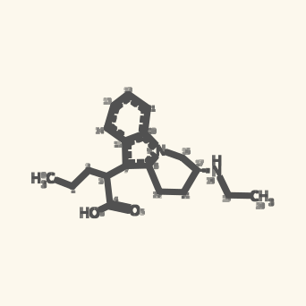 CCCC(C(=O)O)c1c2n(c3ccccc13)C[C@H](NCC)CC2